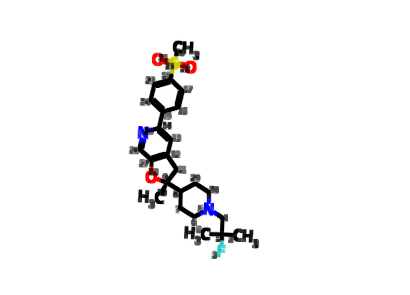 CC(C)(F)CN1CCC([C@@]2(C)Cc3cc(-c4ccc(S(C)(=O)=O)cc4)ncc3O2)CC1